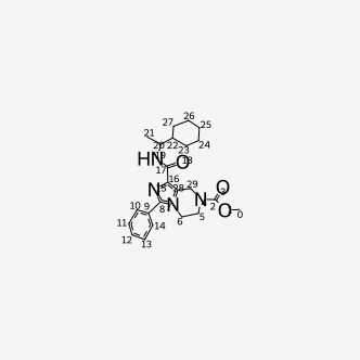 COC(=O)N1CCn2c(-c3ccccc3)nc(C(=O)NC(C)C3CCCCC3)c2C1